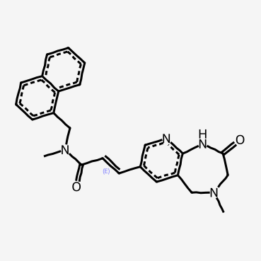 CN1CC(=O)Nc2ncc(/C=C/C(=O)N(C)Cc3cccc4ccccc34)cc2C1